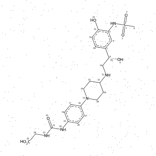 CS(=O)(=O)Nc1cc([C@H](O)CNC2CCN(c3ccc(NC(=O)NCC(=O)O)cc3)CC2)ccc1O